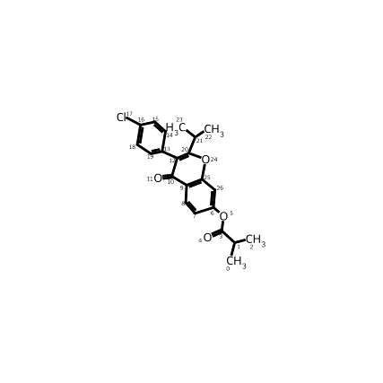 CC(C)C(=O)Oc1ccc2c(=O)c(-c3ccc(Cl)cc3)c(C(C)C)oc2c1